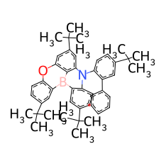 CC(C)(C)c1ccc2c(c1)B1c3cc(C(C)(C)C)ccc3N(c3ccc(C(C)(C)C)cc3-c3ccccc3)c3cc(C(C)(C)C)cc(c31)O2